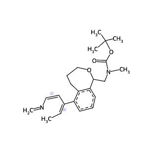 C=N/C=C\C(=C/C)c1cccc2c1CCCOC2CN(C)C(=O)OC(C)(C)C